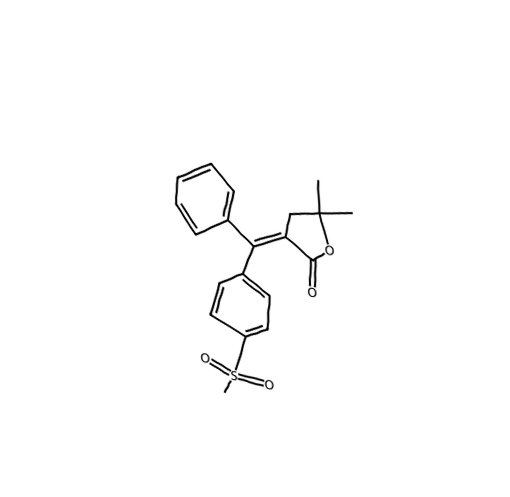 CC1(C)CC(=C(c2ccccc2)c2ccc(S(C)(=O)=O)cc2)C(=O)O1